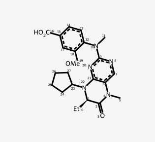 CC[C@@H]1C(=O)N(C)c2cnc(N(C)c3ccc(C(=O)O)cc3OC)nc2N1C1CCCC1